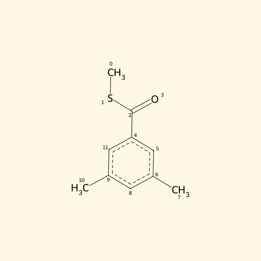 CSC(=O)c1cc(C)cc(C)c1